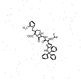 Cc1cccc[n+]1CC1=C(C(=O)[O-])N2C(=O)C(NC(=O)C(=NOC(F)F)c3csc(NC(c4ccccc4)(c4ccccc4)c4ccccc4)n3)[C@@H]2SC1